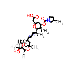 CO[C@@H]([C@@H](C)O)[C@@H](C)OC(C)(C)C[C@H](C)/C=C/C=C(\C)[C@H]1O[C@@H](CC(=O)O)C[C@@H](OC(=O)N2CCC(C)C2)[C@@H]1C